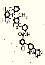 Cc1ccccc1P(c1ccccc1C)c1ccccc1C.O=C(Nc1cccc(C(F)(F)F)c1)c1ccc(Cl)c(-c2ccc3c(c2)[nH]c2ncncc23)c1